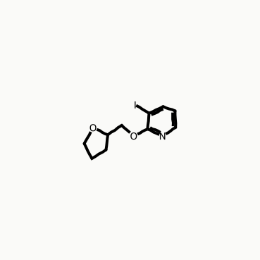 Ic1cccnc1OCC1CCCO1